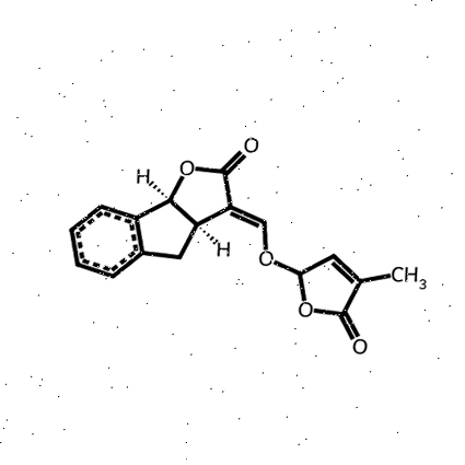 CC1=CC(O/C=C2/C(=O)O[C@@H]3c4ccccc4C[C@H]23)OC1=O